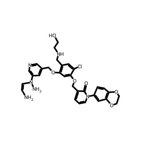 N/C=C\N(N)c1cncc(COc2cc(OCc3cccn(-c4ccc5c(c4)OCCO5)c3=O)c(Cl)cc2CNCCO)c1